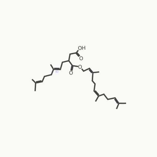 CC(C)=CCCC(C)=CCCC(C)=CCOC(=O)C(C/C=C(\C)CCC=C(C)C)CC(=O)O